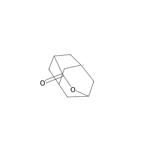 O=C1OC2C[C]3CC(C2)CC1C3